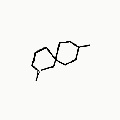 CC1CCC2(CCCN(C)C2)CC1